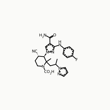 CC(CC1(C)[C@H](n2cc(C(N)=O)c(Nc3ccc(F)cc3)n2)[C@@H](C#N)CCN1C(=O)O)n1cccn1